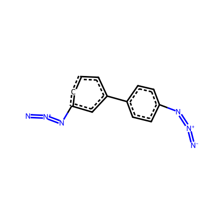 [N-]=[N+]=Nc1ccc(-c2cccc(N=[N+]=[N-])c2)cc1